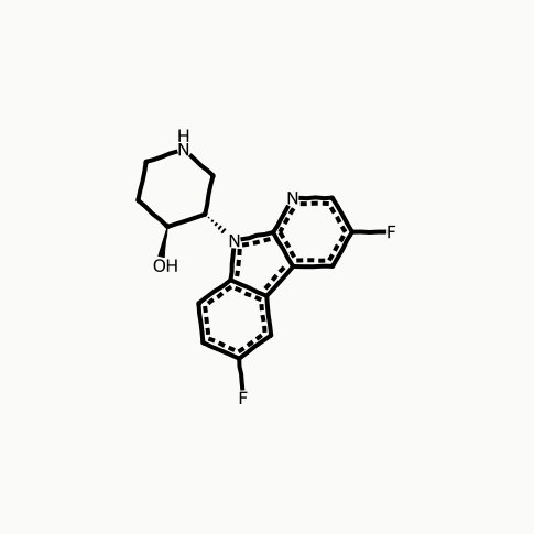 O[C@H]1CCNC[C@@H]1n1c2ccc(F)cc2c2cc(F)cnc21